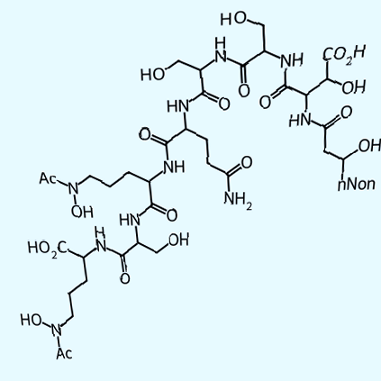 CCCCCCCCCC(O)CC(=O)NC(C(=O)NC(CO)C(=O)NC(CO)C(=O)NC(CCC(N)=O)C(=O)NC(CCCN(O)C(C)=O)C(=O)NC(CO)C(=O)NC(CCCN(O)C(C)=O)C(=O)O)C(O)C(=O)O